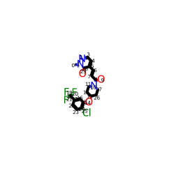 Cn1nccc(C=CC(=O)N2CCC(Oc3cc(C(F)(F)F)ccc3Cl)CC2)c1=O